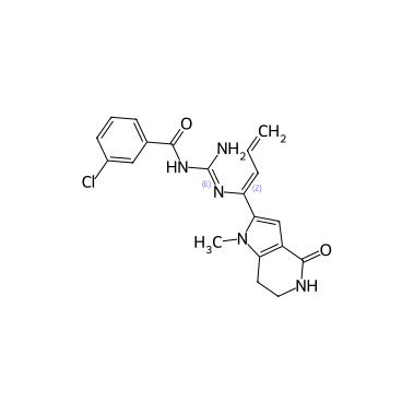 C=C/C=C(\N=C(/N)NC(=O)c1cccc(Cl)c1)c1cc2c(n1C)CCNC2=O